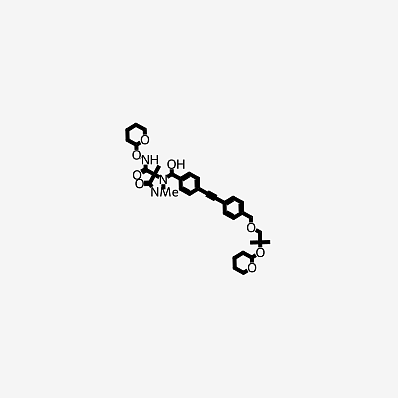 CNC(=O)C(C)(C(=O)NOC1CCCCO1)N(C)C(O)c1ccc(C#Cc2ccc(COCC(C)(C)OC3CCCCO3)cc2)cc1